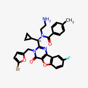 Cc1ccc(C(=O)N(CCN)[C@@H](c2nc3c(oc4ccc(F)cc43)c(=O)n2Cc2ccc(Br)o2)C2CC2)cc1